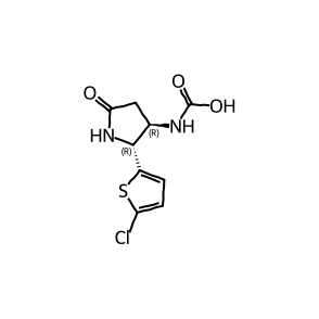 O=C(O)N[C@@H]1CC(=O)N[C@H]1c1ccc(Cl)s1